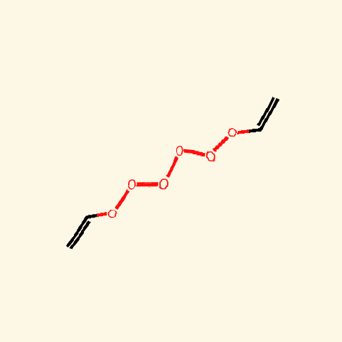 C=COOOOOOC=C